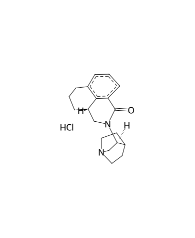 Cl.O=C1c2cccc3c2[C@@H](CCC3)CN1[C@@H]1CN2CCC1CC2